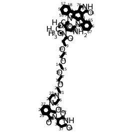 CO[C@@H]1[C@H](N(C)C(=O)CCOCCOCCOCCOCCN2CCN(c3cccc4c3C(=O)N(C3CCC(=O)NC3=O)C4=O)CC2)C[C@@]2(N)O[C@]1(C)n1c3ccccc3c3c4c(c5c6ccccc6n2c5c31)C(=O)NC4